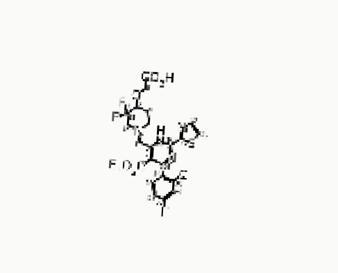 CCOC(=O)C1=C(CN2CCC(OCC(=O)O)C(F)(F)C2)NC(c2nccs2)=N[C@H]1c1ccc(F)cc1Cl